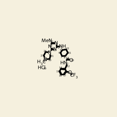 CNc1nc(N[C@H]2CC[C@@H](C(=O)NCc3ccccc3OC(F)(F)F)CC2)nc(N2CCN(C)CC2)n1.Cl